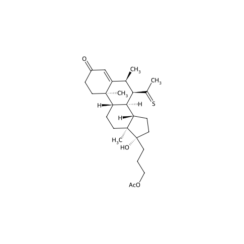 CC(=O)OCCC[C@]1(O)CC[C@H]2[C@@H]3[C@H](C(C)=S)[C@H](C)C4=CC(=O)CC[C@]4(C)[C@H]3CC[C@@]21C